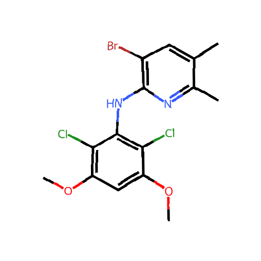 COc1cc(OC)c(Cl)c(Nc2nc(C)c(C)cc2Br)c1Cl